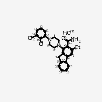 CCc1cc2c(c(N3CCN(c4cccc(Cl)c4Cl)CC3)c1C(N)=O)Cc1ccccc1-2.Cl